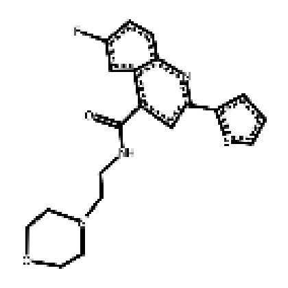 O=C(NCCN1CCOCC1)c1cc(-c2cccs2)nc2ccc(F)cc12